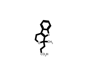 CC1(CCC(=O)O)OCCc2c1sc1ccccc21